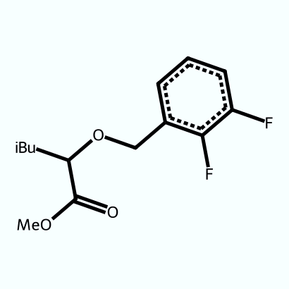 CCC(C)C(OCc1cccc(F)c1F)C(=O)OC